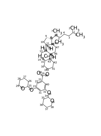 CC(C)CCC[C@@H](C)[C@H]1CC[C@H]2[C@@H]3CC=C4C[C@@H](OC(=O)c5cc(OC6CCCCO6)cc(OC6CCCCO6)c5)CC[C@]4(C)[C@H]3CC[C@]12C